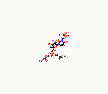 COC(=O)OCOP(=O)(OCOC(=O)OC(C)C)OC[C@@]1(CF)O[C@@H](n2ccc(=O)n(COP(=O)(O)O)c2=O)[C@](C)(O)[C@@H]1O